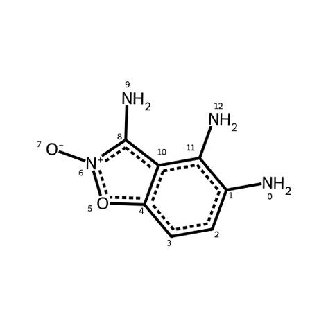 Nc1ccc2o[n+]([O-])c(N)c2c1N